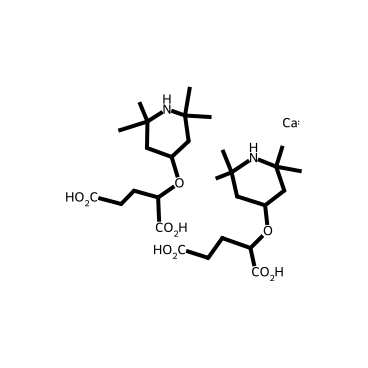 CC1(C)CC(OC(CCC(=O)O)C(=O)O)CC(C)(C)N1.CC1(C)CC(OC(CCC(=O)O)C(=O)O)CC(C)(C)N1.[Ca]